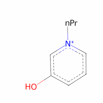 CCC[n+]1cccc(O)c1